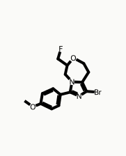 COc1ccc(-c2nc(Br)c3n2CC(CF)OCC3)cc1